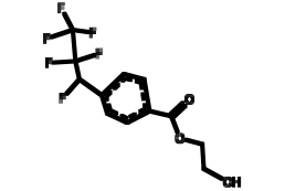 O=C(OCCO)c1ccc(C(F)C(F)(F)C(F)(F)F)cc1